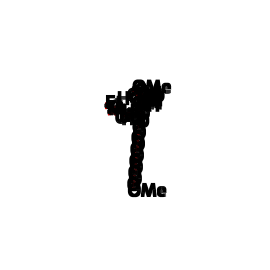 C=Cc1ccccc1N(Cc1ccccc1CC)C(=O)CCCCC(=O)N1CCC2(CCC(C(=O)N[C@@H](CNC(=O)CCOCCOCCOCCOCCOCCOCCOCCOCCOCCOCCOCCOC)C(=O)NCCNC(=O)[C@]3(O)Cc4c(O)c5c(c(O)c4[C@@H](O[C@H]4C[C@H]6[C@H](O[C@@H]7COCCN76)[C@H](C)O4)C3)C(=O)c3c(OC)cccc3C5=O)CC2)CC1